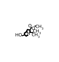 CCOC(=O)c1cc2cc(CO)ccn2c1C(C)C